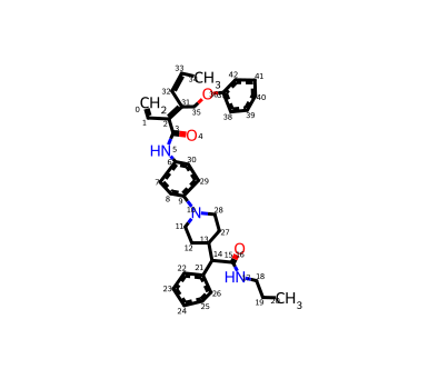 C=C/C(C(=O)Nc1ccc(N2CCC(C(C(=O)NCCC)c3ccccc3)CC2)cc1)=C(\C=C/C)COc1ccccc1